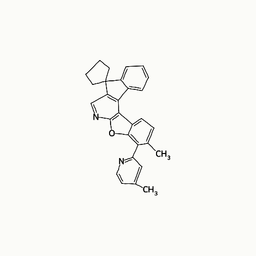 Cc1ccnc(-c2c(C)ccc3c2oc2ncc4c(c23)-c2ccccc2C42CCCC2)c1